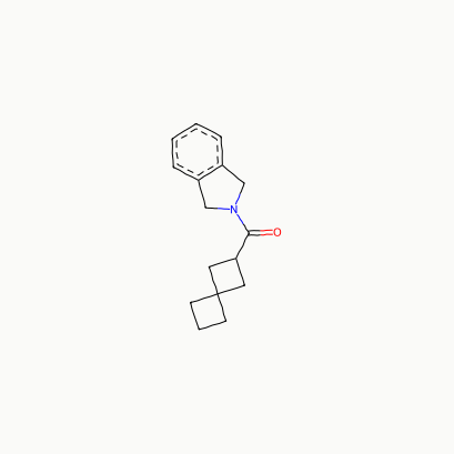 O=C(C1CC2(CCC2)C1)N1Cc2ccccc2C1